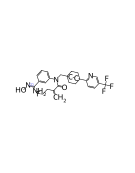 C=C(CCF)C(=O)N(CC12CCC(c3ccc(C(F)(F)F)cn3)(CC1)CC2)c1cccc(/C(N)=N/O)c1